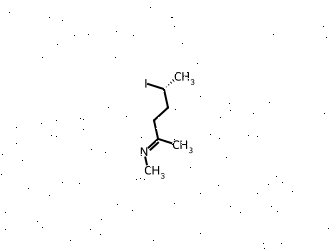 C/N=C(\C)CC[C@@H](C)I